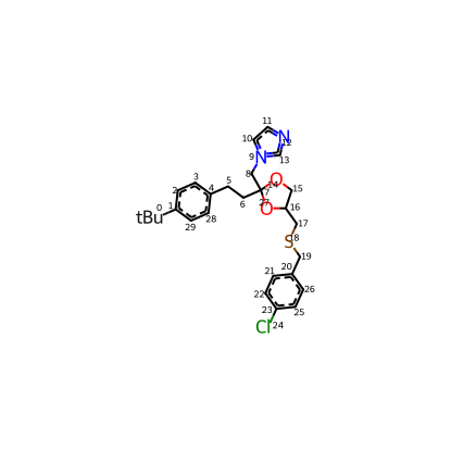 CC(C)(C)c1ccc(CCC2(Cn3ccnc3)OCC(CSCc3ccc(Cl)cc3)O2)cc1